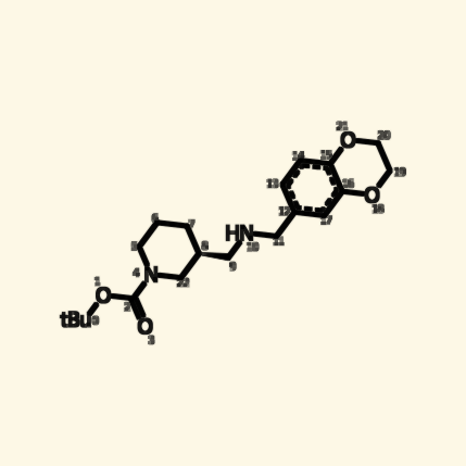 CC(C)(C)OC(=O)N1CCC[C@@H](CNCc2ccc3c(c2)OCCO3)C1